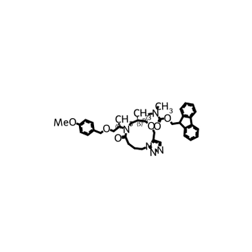 COc1ccc(COC[C@@H](C)N2C[C@H](C)[C@H](CN(C)C(=O)OCC3c4ccccc4-c4ccccc43)OCc3cnnn3CCCC2=O)cc1